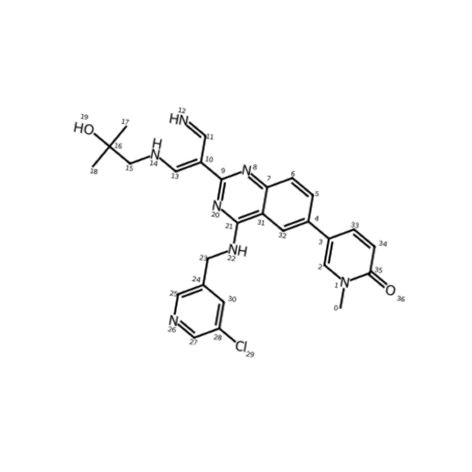 Cn1cc(-c2ccc3nc(/C(C=N)=C/NCC(C)(C)O)nc(NCc4cncc(Cl)c4)c3c2)ccc1=O